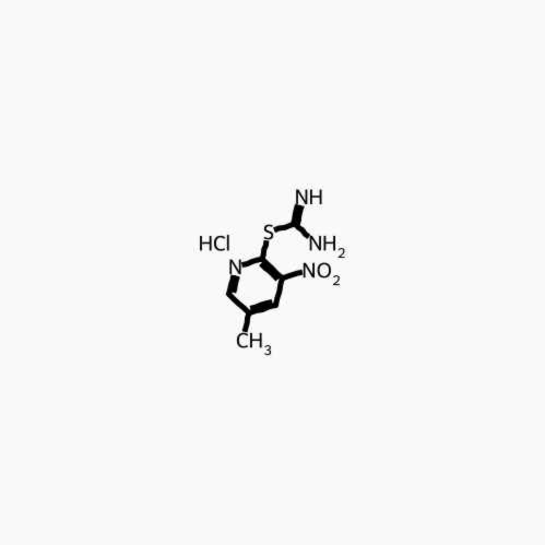 Cc1cnc(SC(=N)N)c([N+](=O)[O-])c1.Cl